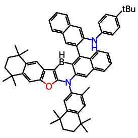 Cc1cc2c(cc1N1c3cc4ccccc4c(-c4cc5ccccc5cc4Nc4ccc(C(C)(C)C)cc4)c3Bc3c1oc1cc4c(cc31)C(C)(C)CCC4(C)C)C(C)(C)CCC2(C)C